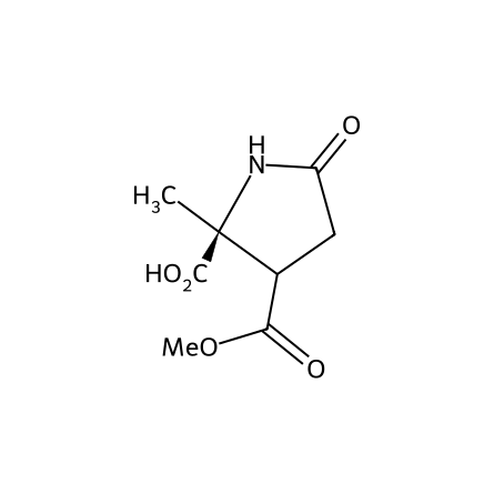 COC(=O)C1CC(=O)N[C@]1(C)C(=O)O